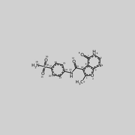 Cc1oc2nc[nH]c(=O)c2c1C(=O)Nc1ccc(S(N)(=O)=O)nc1